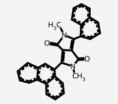 CN1C(=O)C2=C(c3cc4ccccc4c4ccccc34)N(C)C(=O)C2=C1c1cccc2ccccc12